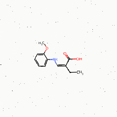 CC/C(=C/Nc1ccccc1OC)C(=O)O